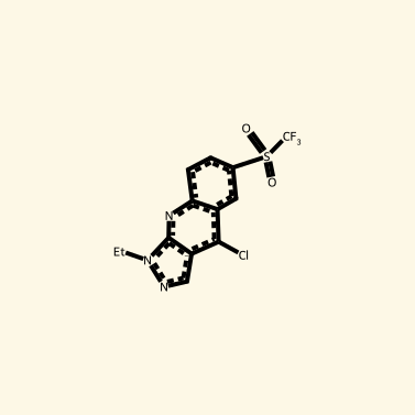 CCn1ncc2c(Cl)c3cc(S(=O)(=O)C(F)(F)F)ccc3nc21